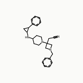 N#CCC1(N2CCC(NC3CC3c3ccccc3)CC2)CN(Cc2ccccc2)C1